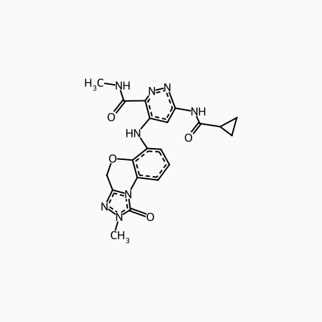 CNC(=O)c1nnc(NC(=O)C2CC2)cc1Nc1cccc2c1OCc1nn(C)c(=O)n1-2